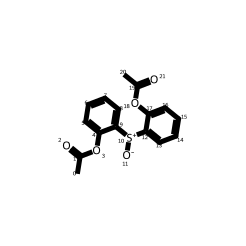 CC(=O)Oc1ccccc1[S+]([O-])c1ccccc1OC(C)=O